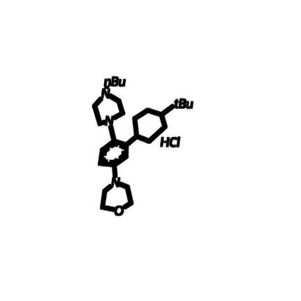 CCCCN1CCN(c2ccc(N3CCOCC3)cc2C2CCC(C(C)(C)C)CC2)CC1.Cl